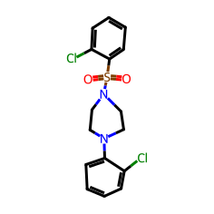 O=S(=O)(c1ccccc1Cl)N1CCN(c2ccccc2Cl)CC1